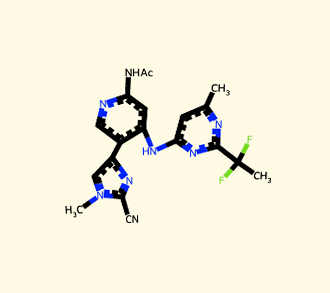 CC(=O)Nc1cc(Nc2cc(C)nc(C(C)(F)F)n2)c(-c2cn(C)c(C#N)n2)cn1